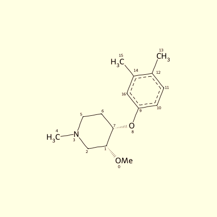 CO[C@@H]1CN(C)CC[C@@H]1Oc1ccc(C)c(C)c1